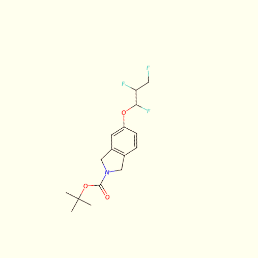 CC(C)(C)OC(=O)N1Cc2ccc(OC(F)C(F)CF)cc2C1